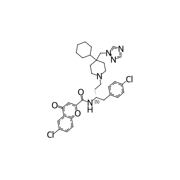 O=C(N[C@H](CCN1CCC(Cn2cncn2)(C2CCCCC2)CC1)Cc1ccc(Cl)cc1)c1cc(=O)c2cc(Cl)ccc2o1